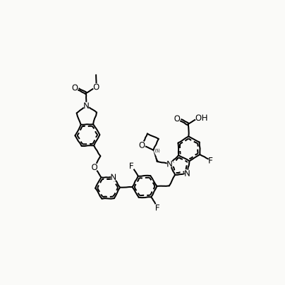 COC(=O)N1Cc2ccc(COc3cccc(-c4cc(F)c(Cc5nc6c(F)cc(C(=O)O)cc6n5C[C@@H]5CCO5)cc4F)n3)cc2C1